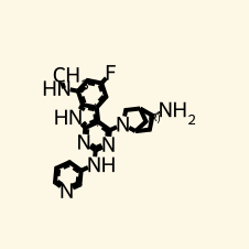 CNc1cc(F)cc2c1[nH]c1nc(Nc3cccnc3)nc(N3CC4CC3C[C@H]4N)c12